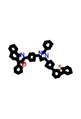 c1ccc(-c2nc(-c3ccc(-c4nc5c6ccccc6ccc5c5c4oc4ccccc45)cc3)cc(-c3ccc(-c4cccc5c4sc4ccccc45)cc3)n2)cc1